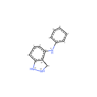 c1ccc(Nc2cccc3c2CNN3)cc1